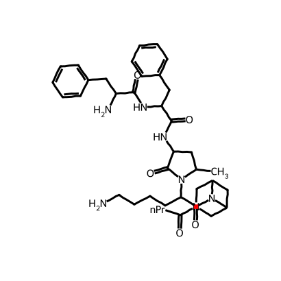 CCCC(=O)N1CC2CC(C1)N2C(=O)C(CCCCN)N1C(=O)C(NC(=O)C(Cc2ccccc2)NC(=O)C(N)Cc2ccccc2)CC1C